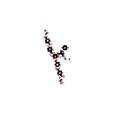 CCOC(=O)C1=NN(c2ccccc2)C(=O)C1=C1Sc2c(OC(=O)C3CCC(OC(=O)C4CCC(C(=O)OCCO)CC4)CC3)ccc(OC(=O)C3CCC(OC(=O)C4CCC(C(=O)OCCO)CC4)CC3)c2S1